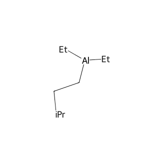 C[CH2][Al]([CH2]C)[CH2]CC(C)C